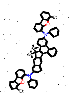 CCc1cccc2c1oc1c(N(c3ccccc3)c3ccc4cc5c(cc4c3)C([Si](C)(C)C)([Si](C)(C)C)c3c-5c4ccccc4c4cc(N(c5ccccc5)c5cccc6c5oc5c(CC)cccc56)ccc34)cccc12